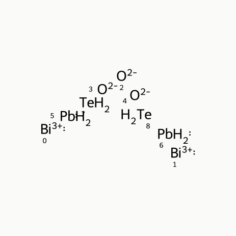 [Bi+3].[Bi+3].[O-2].[O-2].[O-2].[PbH2].[PbH2].[TeH2].[TeH2]